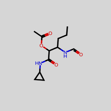 CCCC(NC=O)C(OC(C)=O)C(=O)NC1CC1